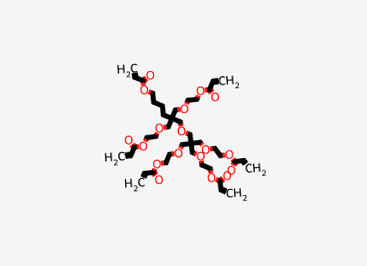 C=CC(=O)OCCCCC(COCCOC(=O)C=C)(COCCOC(=O)C=C)COCC(COCCOC(=O)C=C)(COCCOC(=O)C=C)COCCOC(=O)C=C